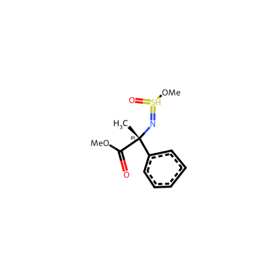 COC(=O)[C@](C)(N=[SH](=O)OC)c1ccccc1